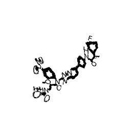 COc1cc(S(C)(=O)=O)ccc1N(C(=O)CCNC(=O)O)c1nc2ccc(-c3ccc(NC(=O)[C@H](C)c4ccc(F)cc4)cc3)cn2n1